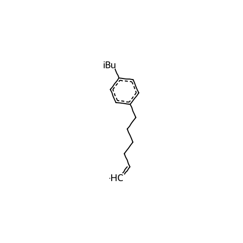 [CH]=CCCCCc1ccc(C(C)CC)cc1